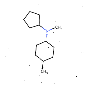 CN(C1CCCC1)[C@H]1CC[C@H](C)CC1